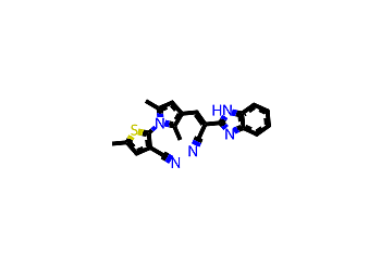 Cc1cc(C#N)c(-n2c(C)cc(/C=C(\C#N)c3nc4ccccc4[nH]3)c2C)s1